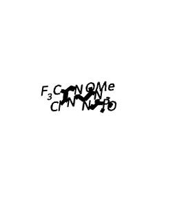 COc1nc(P(C)(C)=O)cnc1-c1ncc(C(F)(F)F)c(Cl)n1